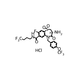 Cl.N[C@H]1CS(=O)(=O)c2cc(F)c(C(=O)NCCCC(F)(F)F)cc2N(Cc2ccc(OC(F)(F)F)cc2)C1=O